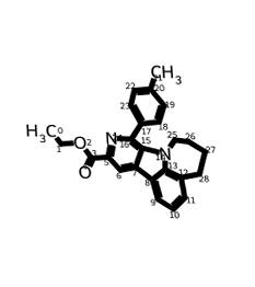 CCOC(=O)c1cc2c3cccc4c3n(c2c(-c2ccc(C)cc2)n1)CCCC4